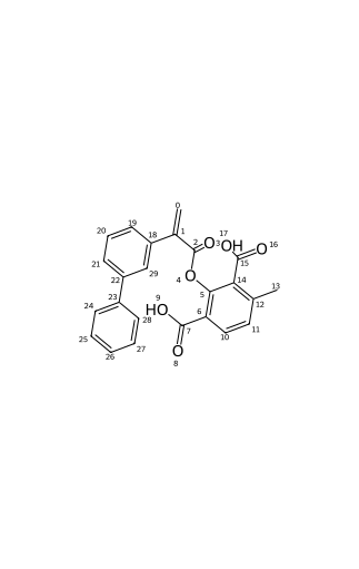 C=C(C(=O)Oc1c(C(=O)O)ccc(C)c1C(=O)O)c1cccc(-c2ccccc2)c1